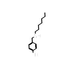 CCCCCCCNCc1ccc(S)cc1